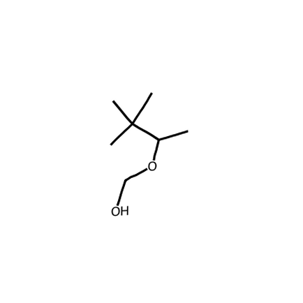 CC(OCO)C(C)(C)C